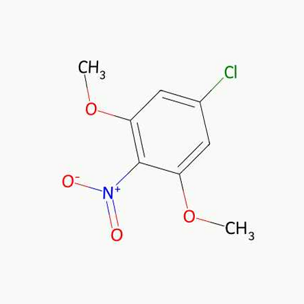 COc1cc(Cl)cc(OC)c1[N+](=O)[O-]